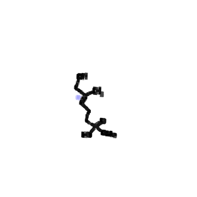 COP(=O)(O)CC/C=C(\C)CO